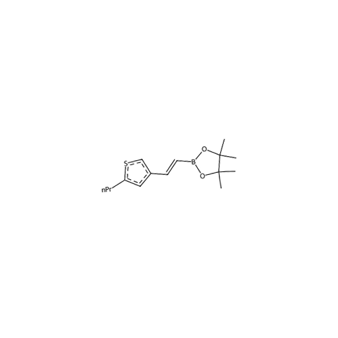 CCCc1cc(/C=C/B2OC(C)(C)C(C)(C)O2)cs1